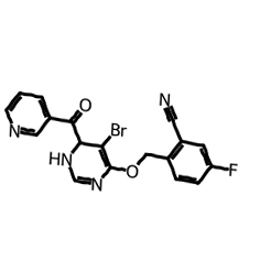 N#Cc1cc(F)ccc1COC1=C(Br)C(C(=O)c2cccnc2)NC=N1